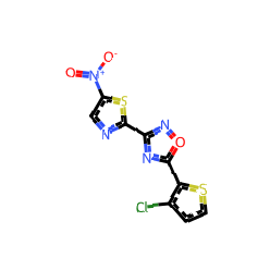 O=[N+]([O-])c1cnc(-c2noc(-c3sccc3Cl)n2)s1